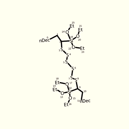 CCCCCCCCCCCC(SSSSSSC(CCCCCCCCCCC)[Si](OCC)(OCC)OCC)[Si](OCC)(OCC)OCC